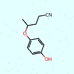 CC(CCC#N)Oc1ccc(O)cc1